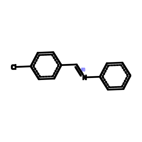 Clc1ccc(/C=N/c2ccccc2)cc1